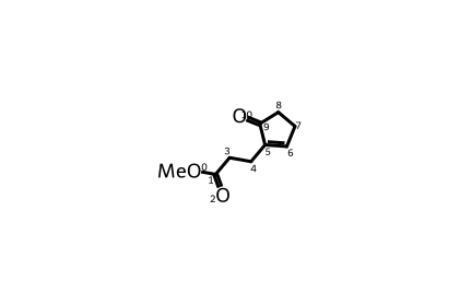 COC(=O)CCC1=CCCC1=O